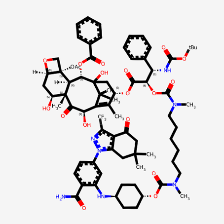 CC(=O)O[C@@]12CO[C@@H]1C[C@H](O)[C@@]1(C)C(=O)[C@H](O)C3=C(C)[C@@H](OC(=O)[C@H](OC(=O)N(C)CCCCCCN(C)C(=O)O[C@H]4CC[C@H](Nc5cc(-n6nc(C(F)(F)F)c7c6CC(C)(C)CC7=O)ccc5C(N)=O)CC4)[C@@H](NC(=O)OC(C)(C)C)c4ccccc4)CC(O)([C@@H](OC(=O)c4ccccc4)[C@H]21)C3(C)C